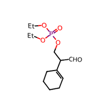 CCOP(=O)(OCC)OCC(C=O)C1=CCCCC1